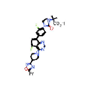 CC(C)c1nc(C2CCN(c3ncnc4c(-c5ccc(N6CCN(C(C)(C)C(=O)O)C6=O)c(F)c5)ccc(F)c34)CC2)no1